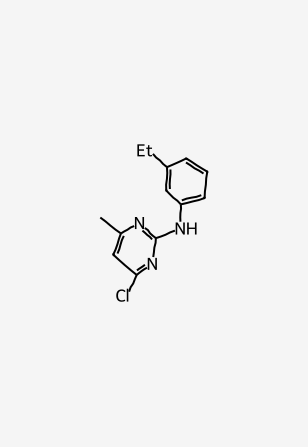 CCc1cccc(Nc2nc(C)cc(Cl)n2)c1